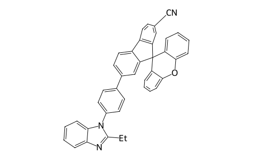 CCc1nc2ccccc2n1-c1ccc(-c2ccc3c(c2)C2(c4ccccc4Oc4ccccc42)c2cc(C#N)ccc2-3)cc1